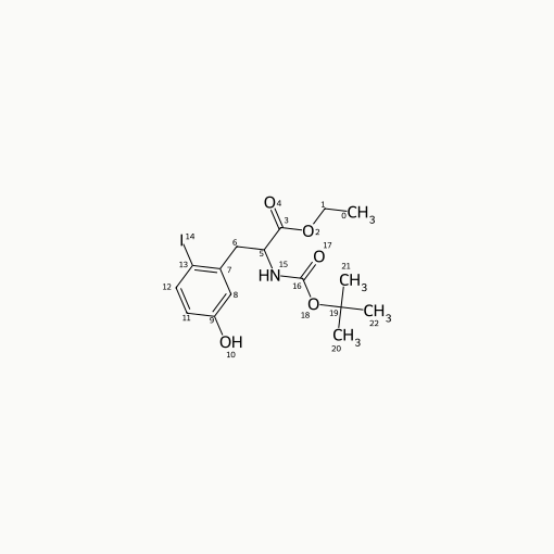 CCOC(=O)C(Cc1cc(O)ccc1I)NC(=O)OC(C)(C)C